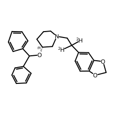 [2H]C([2H])(CN1CCC[C@@H](OC(c2ccccc2)c2ccccc2)C1)c1ccc2c(c1)OCO2